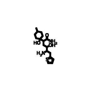 CC1CCC(O)(C(CC(O)C(N)Cc2cccs2)C(N)=O)CC1